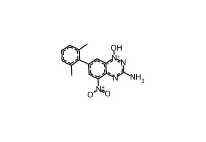 Cc1cccc(C)c1-c1cc([N+](=O)[O-])c2nc(N)n[n+](O)c2c1